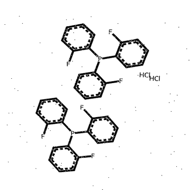 Cl.Cl.Fc1ccccc1P(c1ccccc1F)c1ccccc1F.Fc1ccccc1P(c1ccccc1F)c1ccccc1F